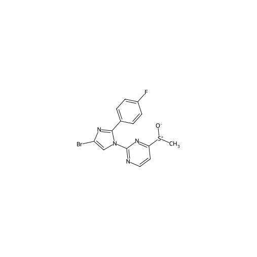 C[S+]([O-])c1ccnc(-n2cc(Br)nc2-c2ccc(F)cc2)n1